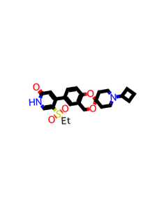 CCS(=O)(=O)c1c[nH]c(=O)cc1-c1ccc2c(c1)COC1(CCN(C3CCC3)CC1)O2